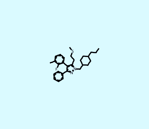 CCCC1CCC(Cn2nc(-c3ccccc3)c(-c3cccc(C)c3F)c2CCSC)CC1